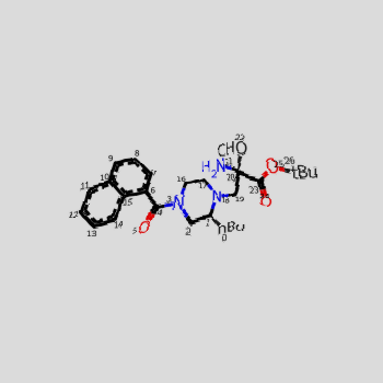 CCCC[C@H]1CN(C(=O)c2cccc3ccccc23)CCN1C[C@@](N)(C=O)C(=O)OC(C)(C)C